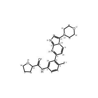 O=C(Nc1ccc(F)c(-c2ccn3c(N4CCOCC4)cnc3n2)c1)C1CCCO1